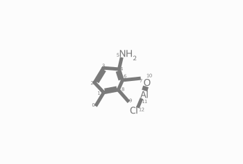 Cc1ccc(N)c(C)c1C.[O]=[Al][Cl]